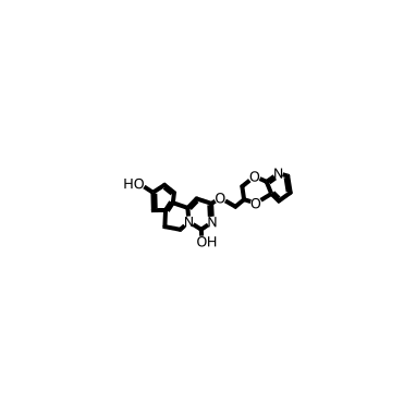 Oc1ccc2c(c1)CCN1C2=CC(OCC2COc3ncccc3O2)=NC1O